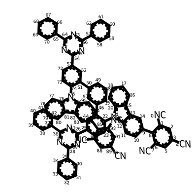 [C-]#[N+]c1cc(C#N)cc(C#N)c1-c1ccc2c(c1)c1ccccc1n2-c1ccc(-c2nc(-c3ccccc3)nc(-c3ccccc3)n2)cc1-c1cccc(-c2cc(-c3nc(-c4ccccc4)nc(-c4ccccc4)n3)ccc2-n2c3ccccc3c3cc(-c4c(C#N)cc(C#N)cc4[N+]#[C-])ccc32)c1